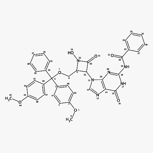 COc1ccc(C(OCC2C(n3cnc4c(=O)[nH]c(NC(=O)c5ccccc5)nc43)C(=O)N2O)(c2ccccc2)c2ccc(OC)cc2)cc1